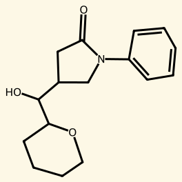 O=C1CC(C(O)C2CCCCO2)CN1c1ccccc1